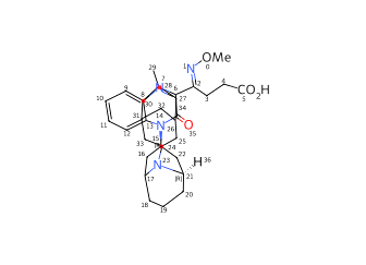 CON=C(CCC(=O)O)c1nc2ccccc2n([C@@H]2CC3CCC[C@H](C2)N3C2CC3CC(C)CC(C3)C2)c1=O